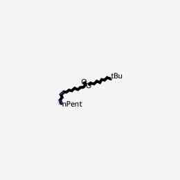 CCCCC/C=C\C/C=C\CCCCCCCC(=O)OCCCCCCCCC(C)(C)C